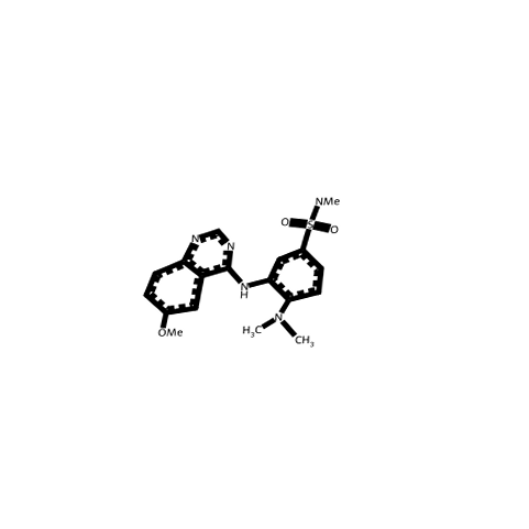 CNS(=O)(=O)c1ccc(N(C)C)c(Nc2ncnc3ccc(OC)cc23)c1